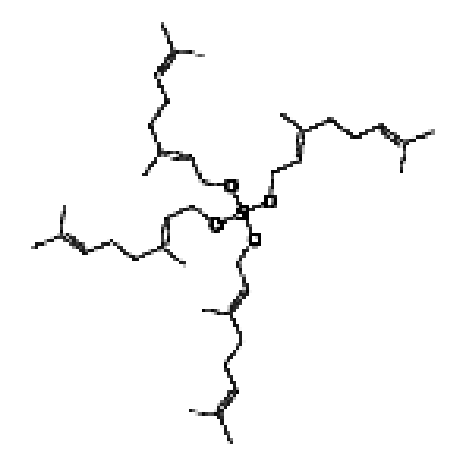 CC(C)=CCC/C(C)=C/CO[Si](OC/C=C(\C)CCC=C(C)C)(OC/C=C(\C)CCC=C(C)C)OC/C=C(\C)CCC=C(C)C